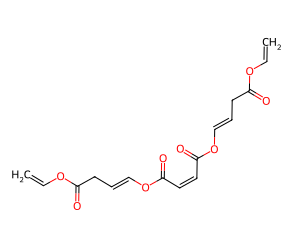 C=COC(=O)CC=COC(=O)/C=C\C(=O)OC=CCC(=O)OC=C